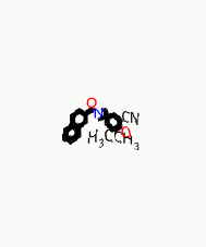 CC1(C)CC2(C=C(C#N)C1=O)CN(C(=O)C1CCc3ccccc3C1)C2